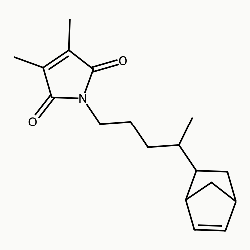 CC1=C(C)C(=O)N(CCCC(C)C2CC3C=CC2C3)C1=O